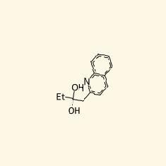 CCC(O)(O)Cc1ccc2ccccc2n1